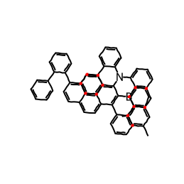 Cc1cc(C)c(B2c3ccccc3N(c3ccccc3-c3ccccc3)c3c2c(-c2ccccc2-c2ccccc2)c2ccc4ccc(-c5ccccc5-c5ccccc5)c5ccc3c2c45)c(C)c1